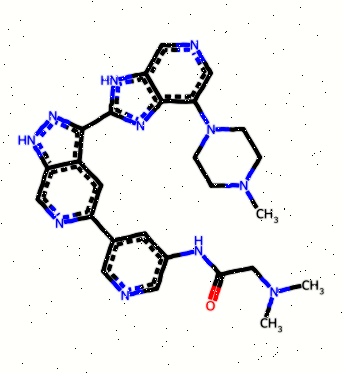 CN(C)CC(=O)Nc1cncc(-c2cc3c(-c4nc5c(N6CCN(C)CC6)cncc5[nH]4)n[nH]c3cn2)c1